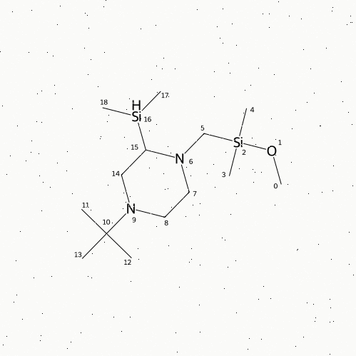 CO[Si](C)(C)CN1CCN(C(C)(C)C)CC1[SiH](C)C